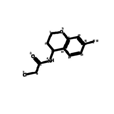 O=C(CCl)NC1CCOc2cc(F)ccc21